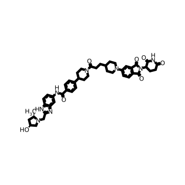 C[C@H]1C[C@H](O)CN1Cc1nc2cc(NC(=O)c3ccc(C4CCN(C(=O)CCC5CCN(c6ccc7c(c6)C(=O)N(C6CCC(=O)NC6=O)C7=O)CC5)CC4)cc3)ccc2[nH]1